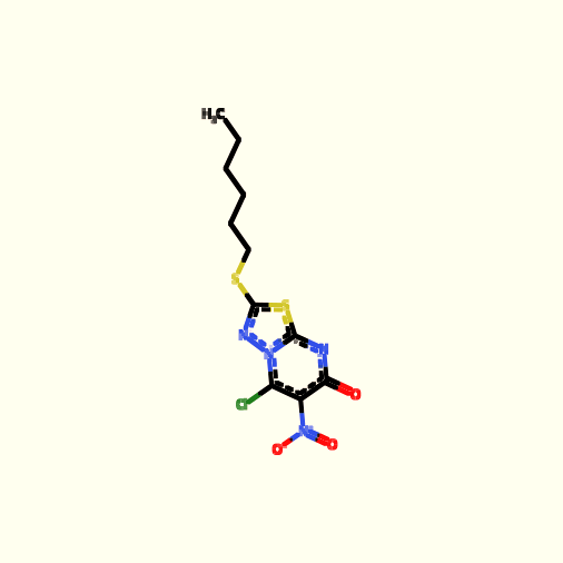 CCCCCCSc1nn2c(Cl)c([N+](=O)[O-])c(=O)nc2s1